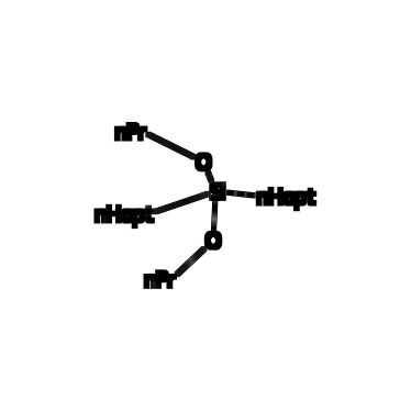 CCCCCCC[Si](CCCCCCC)(OCCC)OCCC